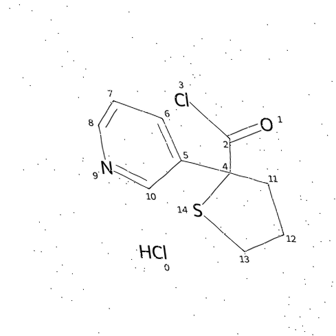 Cl.O=C(Cl)C1(c2cccnc2)CCCS1